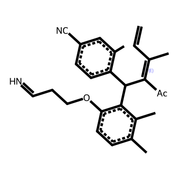 C=C/C(C)=C(/C(C)=O)C(c1ccc(C#N)cc1C)c1c(OCCC=N)ccc(C)c1C